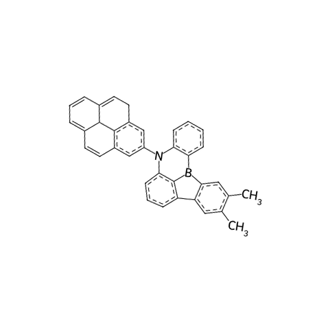 Cc1cc2c(cc1C)-c1cccc3c1B2c1ccccc1N3c1cc2c3c(c1)CC=C1C=CC=C(C=C2)C13